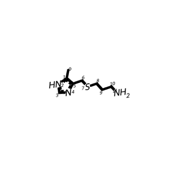 Cc1[nH]cnc1CSCCCN